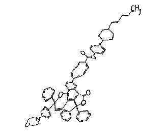 CCCCCC1CCC(c2ccc(OC(=O)c3ccc(-c4ccc5c6c(c7c(c5c4)C(=O)OC7(c4ccccc4)c4ccccc4)C=CC(c4ccccc4)(c4ccc(N5CCOCC5)cc4)O6)cc3)cc2)CC1